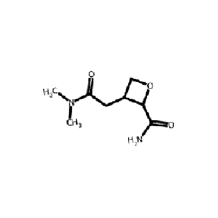 CN(C)C(=O)CC1COC1C(N)=O